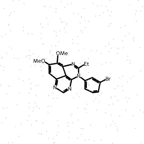 CCC1=Nc2c(OC)c(OC)cc3ncnc(c23)N1c1cccc(Br)c1